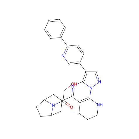 O=C(CO)N1C2CCC1CC(c1nc3c(-c4ccc(-c5ccccc5)nc4)cnn3c3c1CCCN3)C2